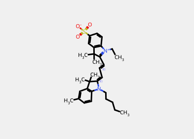 CCCCCN1/C(=C/C=C/C2=[N+](CC)c3ccc(S(=O)(=O)[O-])cc3C2(C)C)C(C)(C)c2cc(C)ccc21